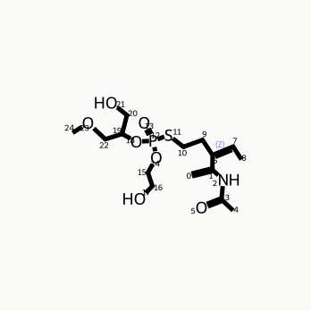 C=C(NC(C)=O)/C(=C\C)CCSP(=O)(OCCO)OC(CO)COC